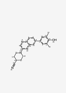 Cc1cc(-c2ccc3ncc(N4CCC(C#N)CC4)nc3c2)cc(C)c1O